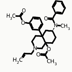 C=CCN1CCC2(c3cccc(OC(C)=O)c3)C[C@H](N(C)C(=O)c3ccccc3)CCC2(OC(C)=O)C1